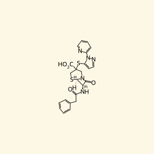 O=C(Cc1ccccc1)N[C@@H]1C(=O)N2CC(Sc3ccnn3-c3ccccn3)(C(=O)O)CS[C@H]12